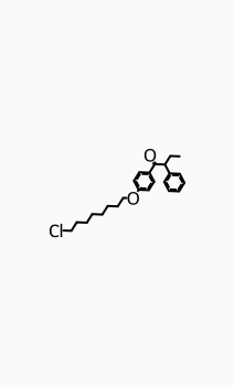 CCC(C(=O)c1ccc(OCCCCCCCCCl)cc1)c1ccccc1